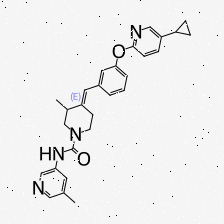 Cc1cncc(NC(=O)N2CC/C(=C\c3cccc(Oc4ccc(C5CC5)cn4)c3)C(C)C2)c1